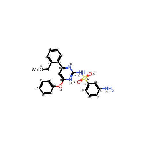 COCc1ccccc1-c1cc(Oc2ccccc2)nc(NS(=O)(=O)c2cccc(N)c2)n1